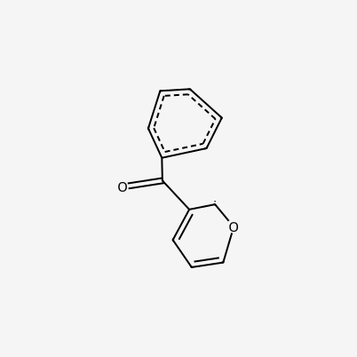 O=C(C1=CC=CO[CH]1)c1ccccc1